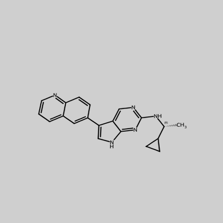 C[C@@H](Nc1ncc2c(-c3ccc4ncccc4c3)c[nH]c2n1)C1CC1